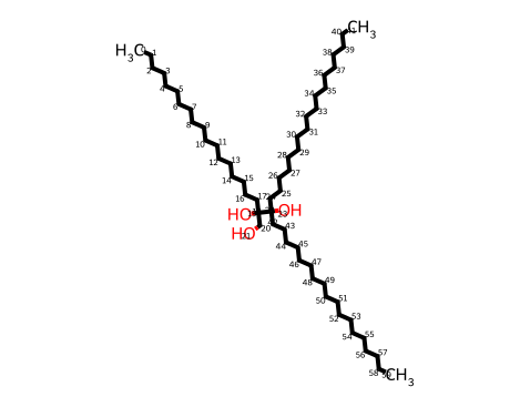 CCCCCCCCCCCCCCCCCCC(O)(CO)C(O)(CCCCCCCCCCCCCCCCCC)CCCCCCCCCCCCCCCCCC